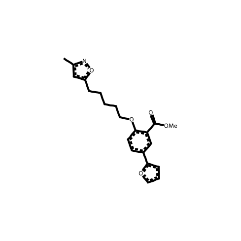 COC(=O)c1cc(-c2ccco2)ccc1OCCCCCc1cc(C)no1